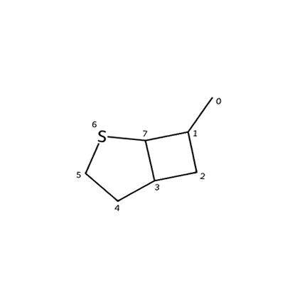 CC1CC2CCSC12